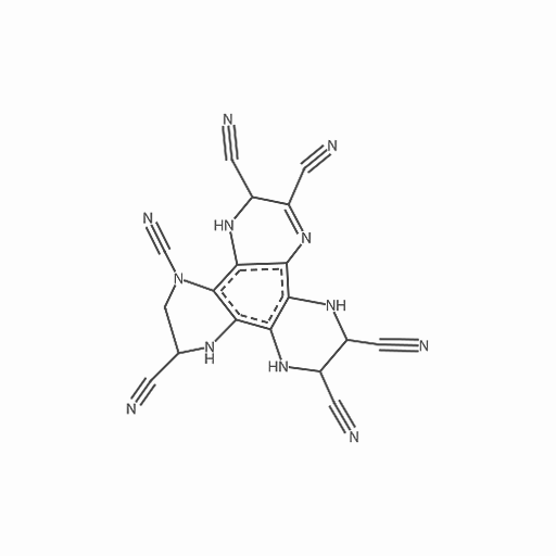 N#CC1=Nc2c3c(c4c(c2NC1C#N)N(C#N)CC(C#N)N4)NC(C#N)C(C#N)N3